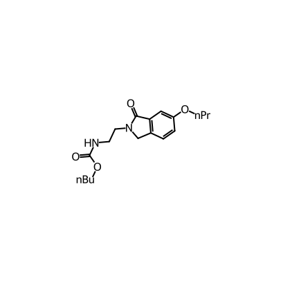 CCCCOC(=O)NCCN1Cc2ccc(OCCC)cc2C1=O